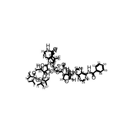 CC(C)[Si]1(C(C)C)OC[C@H]2O[C@@H](n3cc(F)c4c(=O)[nH]cnc43)[C@H](OP(=S)(OCCC#N)OC[C@@]34CO[C@@H]([C@H](n5cnc6c(NC(=O)c7ccccc7)ncnc65)O3)[C@@H]4O[PH](=O)O)[C@@H]2O[Si](C(C)C)(C(C)C)O1